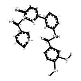 COc1ccc(C(=O)Nc2cccc(-c3ccc(=N)n(C(=N)c4cccnc4)n3)c2)cc1OC